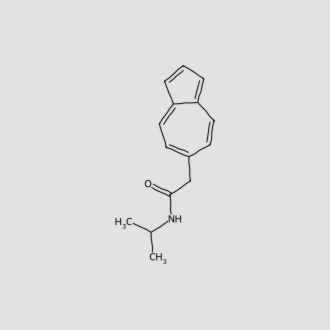 CC(C)NC(=O)Cc1ccc2cccc-2cc1